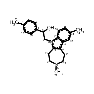 Cc1ccc(C(O)Cn2c3c(c4cc(C)ccc42)CCN(C)CC3)cc1